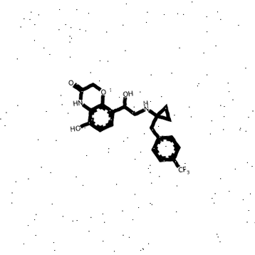 O=C1COc2c(C(O)CNC3(Cc4ccc(C(F)(F)F)cc4)CC3)ccc(O)c2N1